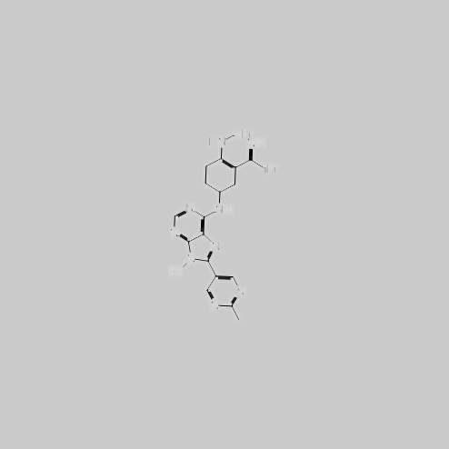 CCCNC1=C(C(=N)C(C)C)CC(Nc2ncnc3c2nc(-c2cnc(C)nc2)n3CC)CC1